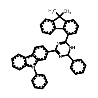 CC1(C)c2ccccc2-c2c(C3=NC(c4ccc5c6ccccc6n(-c6ccccc6)c5c4)=NC(c4ccccc4)N3)cccc21